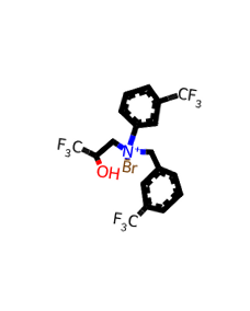 OC(C[N+](Br)(Cc1cccc(C(F)(F)F)c1)c1cccc(C(F)(F)F)c1)C(F)(F)F